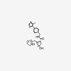 Cc1ncsc1-c1ccc(CNC(=O)[C@@H]2C[C@@H](O)CN2C[C@@H]2COCCN2)cc1